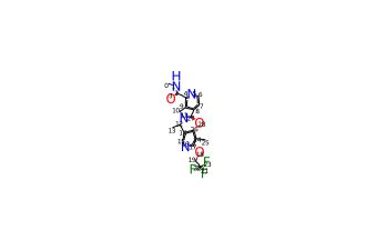 CNC(=O)c1nccc2c1CN(C(C)c1cnc(OCC(F)(F)F)c(C)c1)C2=O